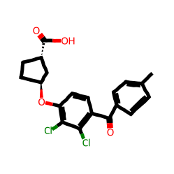 Cc1ccc(C(=O)c2ccc(O[C@H]3CC[C@H](C(=O)O)C3)c(Cl)c2Cl)cc1